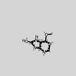 COc1ncnc2nc(O)[nH]c12